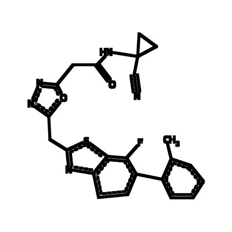 Cc1ccccc1-c1ccc2nc(Cc3nnc(CC(=O)NC4(C#N)CC4)o3)sc2c1F